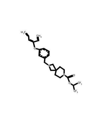 C=C/C=C(\C=C)Oc1cccc(CN2CC3(CCN(C(=O)OC(C(F)(F)F)C(F)(F)F)CC3)C2)c1